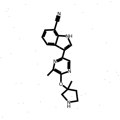 Cc1nc(-c2c[nH]c3c(C#N)cccc23)cnc1OC1(C)CCNC1